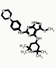 CSc1n[nH]c2nc(Nc3ccc(N4CCOCC4)cc3)nc(NC3CC(C)(C)NC(C)(C)C3)c12